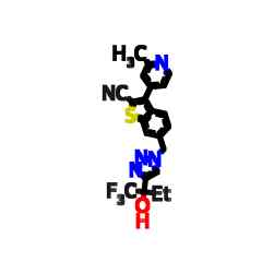 CCC(O)(c1cn(Cc2ccc3c(-c4ccnc(C)c4)c(C#N)sc3c2)nn1)C(F)(F)F